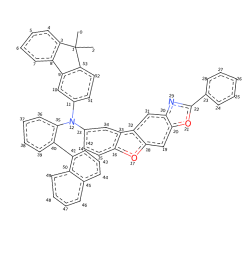 CC1(C)c2ccccc2-c2cc(N(c3ccc4oc5cc6oc(-c7ccccc7)nc6cc5c4c3)c3ccccc3-c3cccc4ccccc34)ccc21